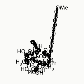 COCCOCCOCCOCCOCCOCCOCCOCCOCCOCCOCCN(CCC(=O)N[C@H](C(=O)N[C@@H](C)C(=O)Nc1ccc(COC(=O)N(CCOC23CC4(C)CC(C)(CC(Cn5ncc(-c6ccc(N7CCc8cccc(C(=O)Nc9nc%10ccccc%10s9)c8C7)nc6C(=O)O)c5C)(C4)C2)C3)CCS(=O)(=O)O)c(CC[C@@H]2O[C@H](C(=O)O)[C@H](O)[C@@H](O)[C@H]2O)c1)C(C)C)C(=O)CN1C(=O)C=CC1=O